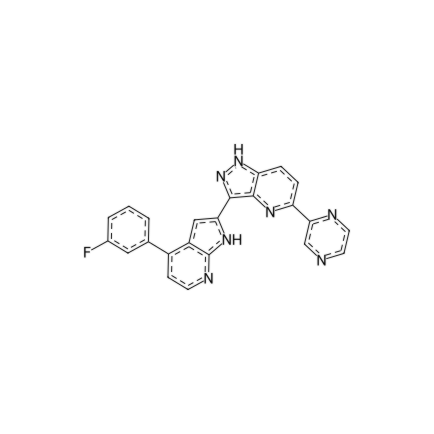 Fc1cccc(-c2ccnc3[nH]c(-c4n[nH]c5ccc(-c6cnccn6)nc45)cc23)c1